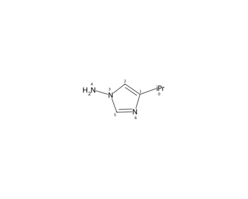 CC(C)c1cn(N)cn1